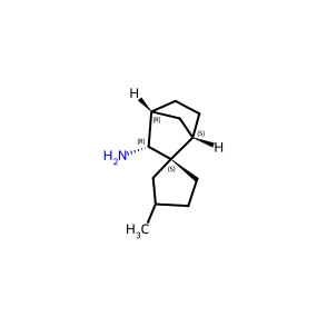 CC1CC[C@]2(C1)[C@H]1CC[C@H](C1)[C@H]2N